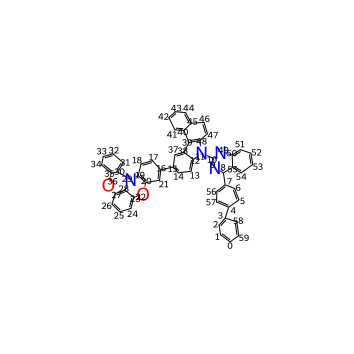 c1ccc(-c2ccc(-c3nc(-n4c5ccc(-c6ccc7c(c6)Oc6cccc8c6N7c6ccccc6O8)cc5c5c6ccccc6ccc54)nc4ccccc34)cc2)cc1